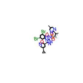 COc1c(Br)cc(Br)c(OC)c1-n1c(NS(=O)(=O)[C@@H](C)[C@H](C)c2ncc(C)cn2)nnc1-c1cncc(C2CC2)c1